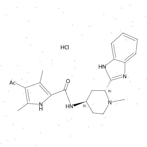 CC(=O)c1c(C)[nH]c(C(=O)N[C@@H]2CCN(C)[C@@H](c3nc4ccccc4[nH]3)C2)c1C.Cl